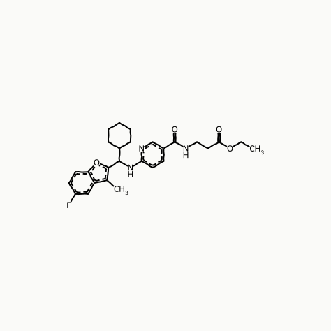 CCOC(=O)CCNC(=O)c1ccc(NC(c2oc3ccc(F)cc3c2C)C2CCCCC2)nc1